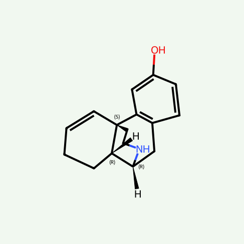 Oc1ccc2c(c1)[C@@]13C=CCC[C@H]1[C@@H](C2)NCC3